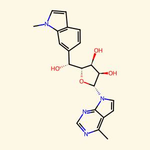 Cc1ncnc2c1ccn2[C@@H]1O[C@H]([C@H](O)c2ccc3ccn(C)c3c2)[C@@H](O)[C@H]1O